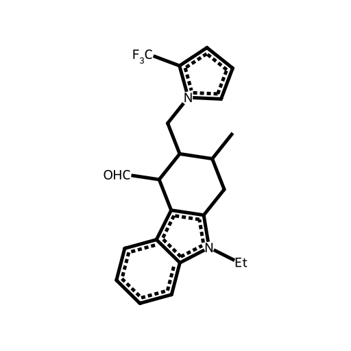 CCn1c2c(c3ccccc31)C(C=O)C(Cn1cccc1C(F)(F)F)C(C)C2